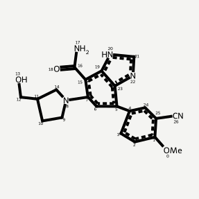 COc1ccc(-c2cc(N3CCC(CO)C3)c(C(N)=O)c3[nH]cnc23)cc1C#N